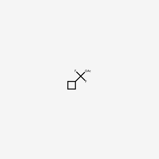 CC(=O)OC(F)(F)C1CCC1